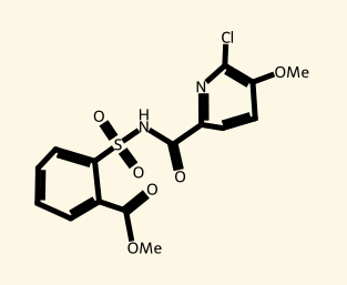 COC(=O)c1ccccc1S(=O)(=O)NC(=O)c1ccc(OC)c(Cl)n1